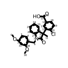 COc1ccc(CN2C(=O)C(C)(c3cc(C(=O)O)ccc3Cl)c3ccccc32)c(OC)c1